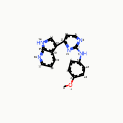 COc1ccc(Nc2nccc(-c3c[nH]c4ncccc34)n2)cc1